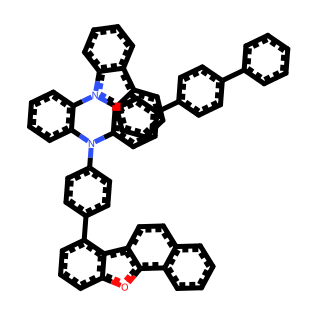 c1ccc(-c2ccc(-c3ccc(N(c4ccc(-c5cccc6oc7c8ccccc8ccc7c56)cc4)c4ccccc4-n4c5ccccc5c5ccccc54)cc3)cc2)cc1